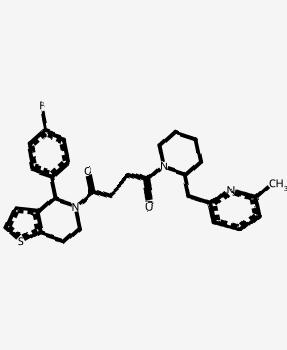 Cc1cccc(CC2CCCCN2C(=O)CCC(=O)N2CCc3sccc3C2c2ccc(F)cc2)n1